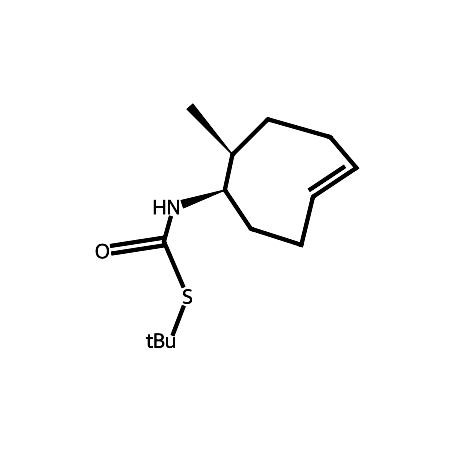 C[C@H]1CC/C=C/CC[C@H]1NC(=O)SC(C)(C)C